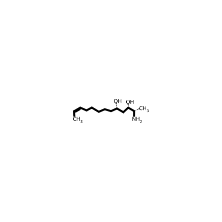 C/C=C\CCCCC[C@H](O)C[C@H](O)[C@H](C)N